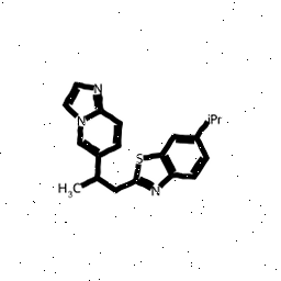 CC(C)c1ccc2nc(CC(C)c3ccc4nccn4c3)sc2c1